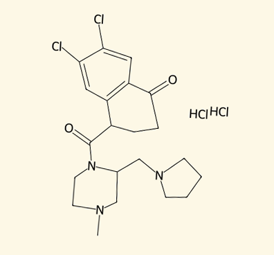 CN1CCN(C(=O)C2CCC(=O)c3cc(Cl)c(Cl)cc32)C(CN2CCCC2)C1.Cl.Cl